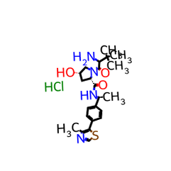 Cc1ncsc1-c1ccc([C@H](C)NC(=O)[C@@H]2C[C@H](O)CN2C(=O)C(N)C(C)(C)C)cc1.Cl